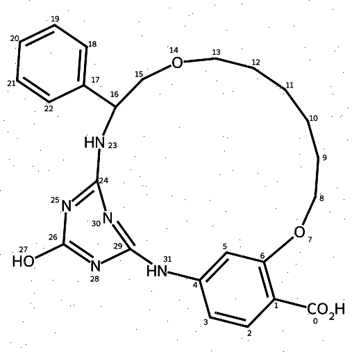 O=C(O)c1ccc2cc1OCCCCCCOCC(c1ccccc1)Nc1nc(O)nc(n1)N2